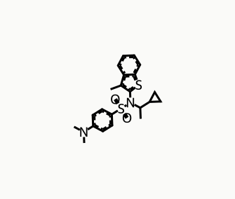 Cc1c(N(C(C)C2CC2)S(=O)(=O)c2ccc(N(C)C)cc2)sc2ccccc12